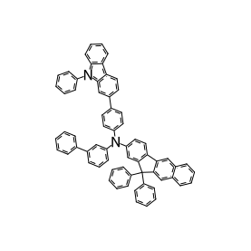 c1ccc(-c2cccc(N(c3ccc(-c4ccc5c6ccccc6n(-c6ccccc6)c5c4)cc3)c3ccc4c(c3)C(c3ccccc3)(c3ccccc3)c3cc5ccccc5cc3-4)c2)cc1